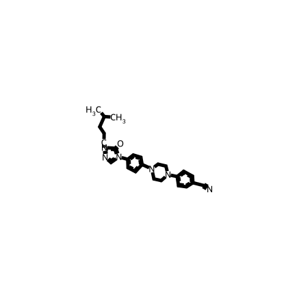 CC(C)CCCn1ncn(-c2ccc(N3CCN(c4ccc(C#N)cc4)CC3)cc2)c1=O